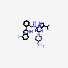 CC(C)c1cnn2c(NCc3ccccc3-c3cc4c(F)cccc4[nH]3)nc(N3CCC(N)CC3)nc12